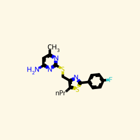 CCCc1sc(-c2ccc(F)cc2)nc1CSc1nc(C)cc(N)n1